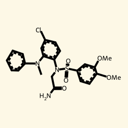 COc1ccc(S(=O)(=O)N(CC(N)=O)c2ccc(Cl)cc2N(C)c2ccccc2)cc1OC